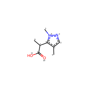 Cc1cnn(C)c1C(C)C(=O)O